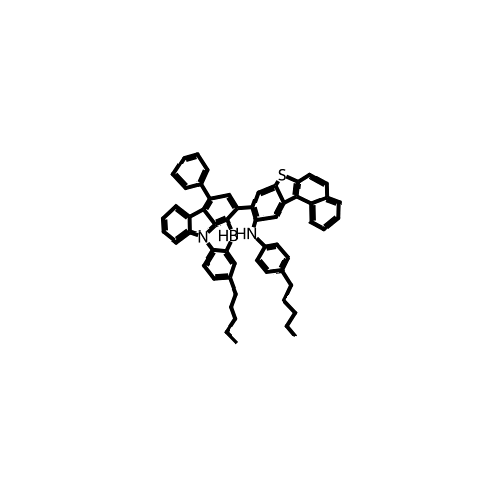 CCCCCc1ccc(Nc2cc3c(cc2-c2cc(-c4ccccc4)c4c5ccccc5n5c4c2Bc2cc(CCCCC)ccc2-5)sc2ccc4ccccc4c23)cc1